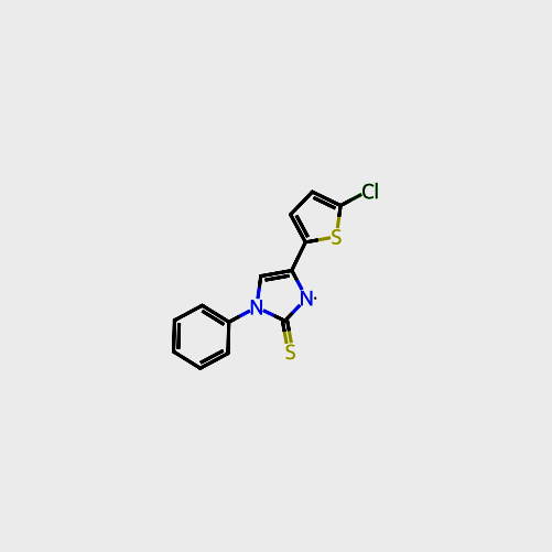 S=C1[N]C(c2ccc(Cl)s2)=CN1c1ccccc1